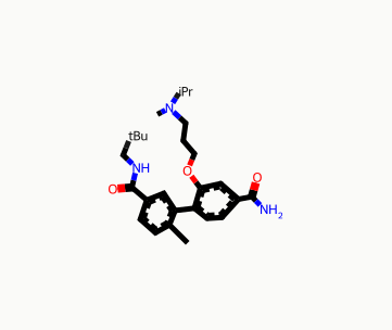 Cc1ccc(C(=O)NCC(C)(C)C)cc1-c1ccc(C(N)=O)cc1OCCCN(C)C(C)C